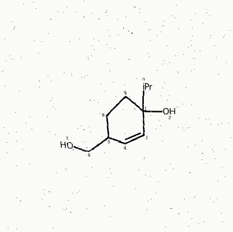 CC(C)C1(O)C=CC(CO)CC1